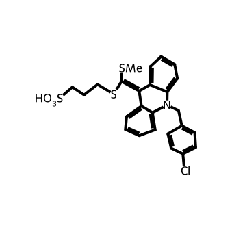 CSC(SCCCS(=O)(=O)O)=C1c2ccccc2N(Cc2ccc(Cl)cc2)c2ccccc21